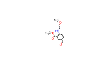 COCCNc1ccc(C=O)cc1C(=O)OC